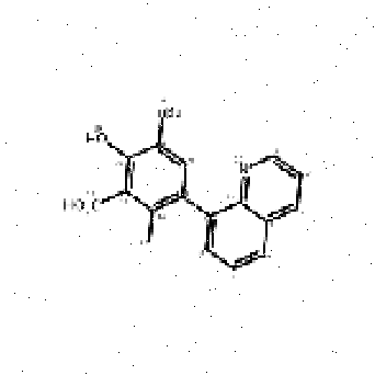 CCCCc1cc(-c2cccc3cccnc23)c(C)c(C(=O)O)c1O